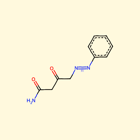 NC(=O)CC(=O)C/N=N/c1ccccc1